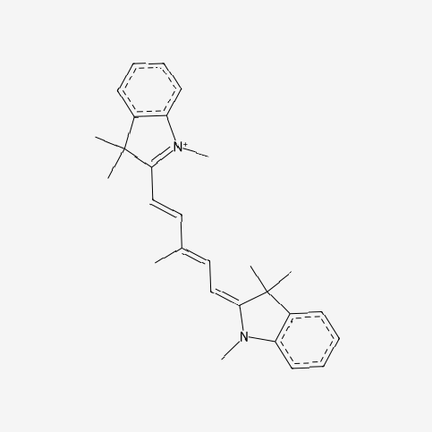 CC(/C=C/C1=[N+](C)c2ccccc2C1(C)C)=C\C=C1\N(C)c2ccccc2C1(C)C